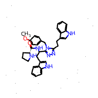 COc1ccc(Cn2c(CCc3c[nH]c4ccccc34)nnc2C(Cc2c[nH]c3ccccc23)NC(=O)[C@H]2CCCN2)cc1